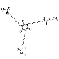 CCOC(=O)NCCCCCCn1c(=O)n(CCCCCCNC(N)=O)c(=O)n(CCCCCCNC(N)=O)c1=O